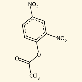 O=C(Oc1ccc([N+](=O)[O-])cc1[N+](=O)[O-])C(Cl)(Cl)Cl